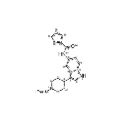 CCCC(C)N1CCC(c2c[nH]c3ccc(NC(=O)c4ccsc4)cc23)CC1